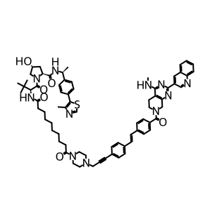 CNc1nc(-c2cnc3ccccc3c2)nc2c1CCN(C(=O)c1ccc(/C=C/c3ccc(C#CCN4CCN(C(=O)CCCCCCCCC(=O)N[C@H](C(=O)N5C[C@H](O)C[C@H]5C(=O)N[C@@H](C)c5ccc(-c6scnc6C)cc5)C(C)(C)C)CC4)cc3)cc1)C2